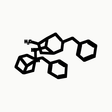 CC1CC2CN(Cc3ccccc3)CC1C2NNC1C2CC1CN(Cc1ccccc1)C2